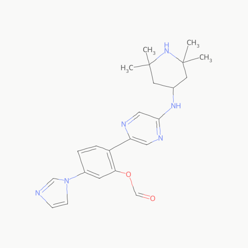 CC1(C)CC(Nc2cnc(-c3ccc(-n4ccnc4)cc3OC=O)cn2)CC(C)(C)N1